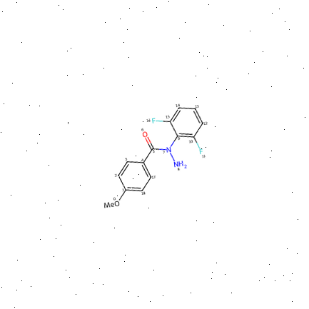 COc1ccc(C(=O)N(N)c2c(F)cccc2F)cc1